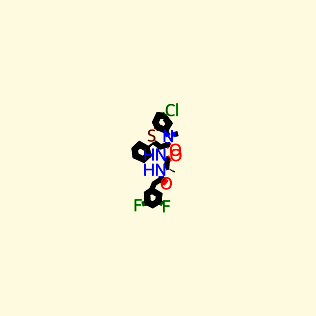 C[C@H](NC(=O)Cc1cc(F)cc(F)c1)C(=O)N[C@@H]1C(=O)N(C)c2cc(Cl)ccc2S[C@@H]1c1ccccc1